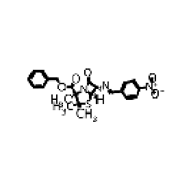 CC1(C)S[C@@H]2[C@@H](N=Cc3ccc([N+](=O)[O-])cc3)C(=O)N2[C@@]1(C)C(=O)OCc1ccccc1